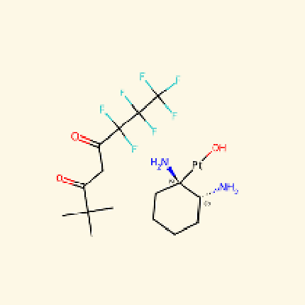 CC(C)(C)C(=O)CC(=O)C(F)(F)C(F)(F)C(F)(F)F.N[C@@H]1CCCC[C@]1(N)[Pt][OH]